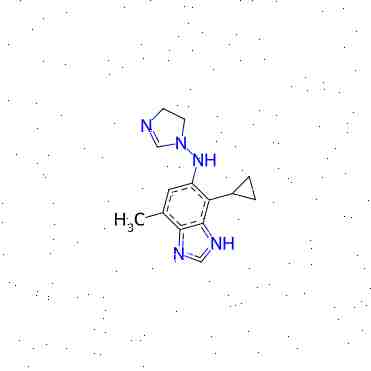 Cc1cc(NN2C=NCC2)c(C2CC2)c2[nH]cnc12